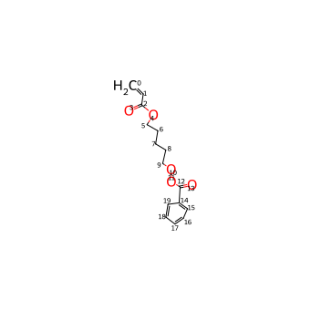 C=CC(=O)OCCCCCOOC(=O)c1ccccc1